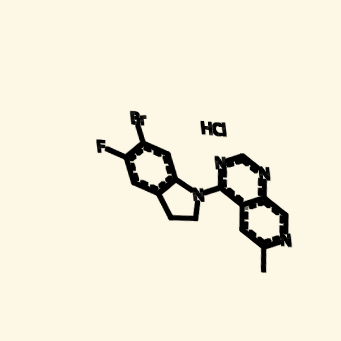 Cc1cc2c(N3CCc4cc(F)c(Br)cc43)ncnc2cn1.Cl